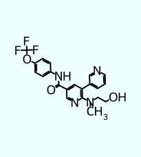 CN(CCO)c1ncc(C(=O)Nc2ccc(OC(F)(F)F)cc2)cc1-c1cccnc1